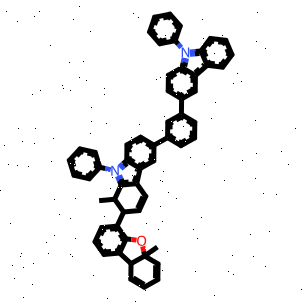 CC1c2c(c3cc(-c4cccc(-c5ccc6c(c5)c5ccccc5n6-c5ccccc5)c4)ccc3n2-c2ccccc2)C=CC1c1cccc2c1OC1(C)C=CC=CC21